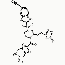 C#Cc1ccc2[nH]c(S(=O)(=O)N3CCN(C(=O)c4nc5c(o4)CNC(C)C5)C(CCC4=NOS(=O)N4)C3)cc2c1